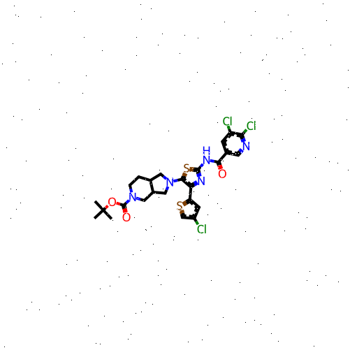 CC(C)(C)OC(=O)N1CCC2CN(c3sc(NC(=O)c4cnc(Cl)c(Cl)c4)nc3-c3cc(Cl)cs3)CC2C1